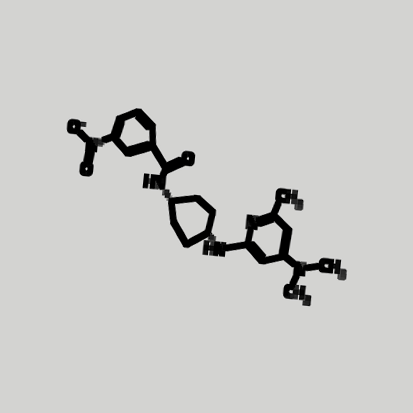 Cc1cc(N(C)C)cc(N[C@H]2CC[C@@H](NC(=O)c3cccc([N+](=O)[O-])c3)CC2)n1